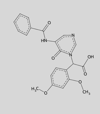 COc1ccc(C(C(=O)O)n2cncc(NC(=O)c3ccccc3)c2=O)c(OC)c1